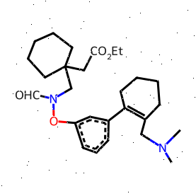 CCOC(=O)CC1(CN(C=O)Oc2cccc(C3=C(CN(C)C)CCCC3)c2)CCCCC1